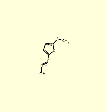 CSc1ccc(/C=N/O)o1